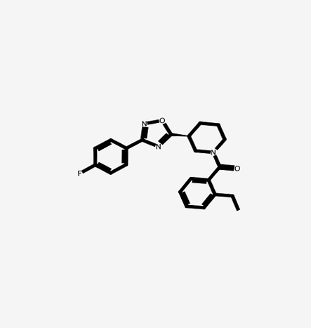 CCc1ccccc1C(=O)N1CCC[C@H](c2nc(-c3ccc(F)cc3)no2)C1